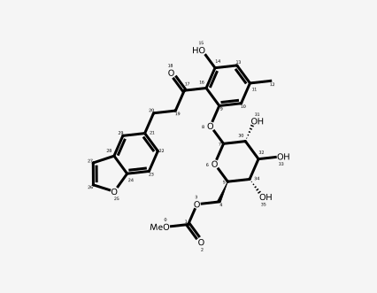 COC(=O)OC[C@H]1OC(Oc2cc(C)cc(O)c2C(=O)CCc2ccc3occc3c2)[C@H](O)C(O)[C@@H]1O